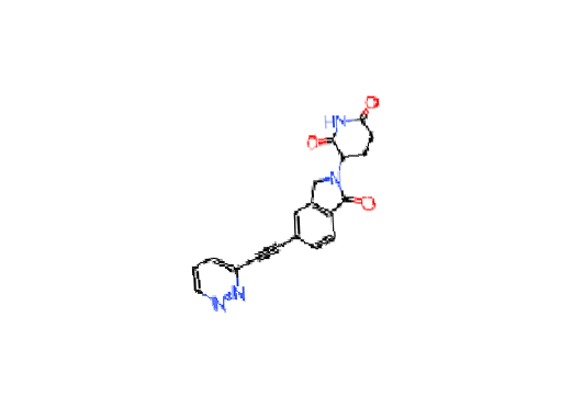 O=C1CCC(N2Cc3cc(C#Cc4cccnn4)ccc3C2=O)C(=O)N1